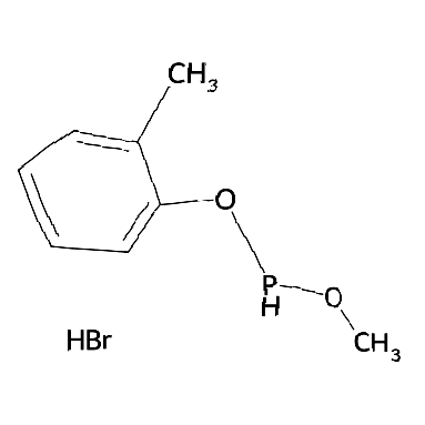 Br.COPOc1ccccc1C